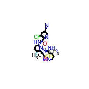 C[C@@]1(c2nc(NC(=O)c3ncc(C#N)cc3Cl)ccc2F)C[SH]2(=O)NCCC[C@]2(C)C(N)=N1